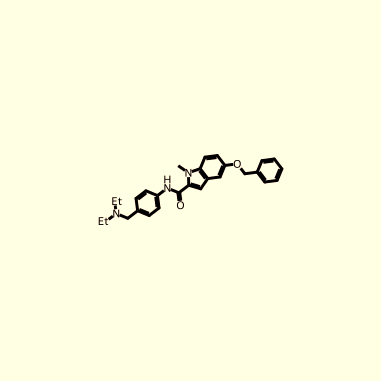 CCN(CC)Cc1ccc(NC(=O)c2cc3cc(OCc4ccccc4)ccc3n2C)cc1